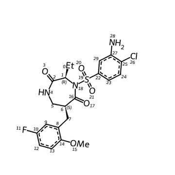 CC[C@@H]1C(=O)NC[C@H](Cc2cc(F)ccc2OC)C(=O)N1S(=O)(=O)c1ccc(Cl)c(N)c1